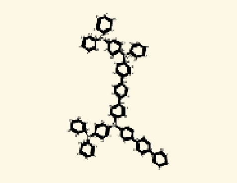 c1ccc(-c2ccc(-c3ccc(N(c4ccc(-c5ccc(-c6ccc(N(c7ccccc7)c7ccc(N(c8ccccc8)c8ccccc8)cc7)cc6)cc5)cc4)c4ccc(N(c5ccccc5)c5ccccc5)cc4)cc3)cc2)cc1